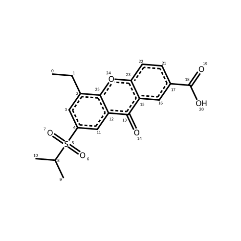 CCc1cc(S(=O)(=O)C(C)C)cc2c(=O)c3cc(C(=O)O)ccc3oc12